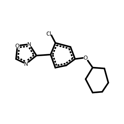 Clc1cc(OC2CCCCC2)ccc1-c1ncon1